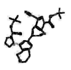 CC(C)(C)OC(=O)N1CCC[C@H]1c1cc(-c2cnc3c(c2)c(C#N)cn3C(=O)OC(C)(C)C)cc2c1COCC2